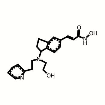 O=C(/C=C/c1ccc2c(c1)CCC2N(CCO)CCc1ccccn1)NO